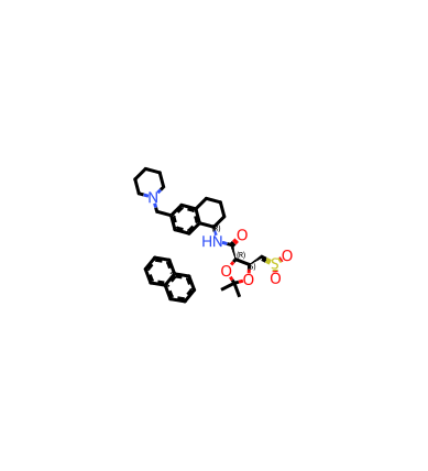 CC1(C)O[C@H](C=S(=O)=O)[C@H](C(=O)N[C@@H]2CCCc3cc(CN4CCCCC4)ccc32)O1.c1ccc2ccccc2c1